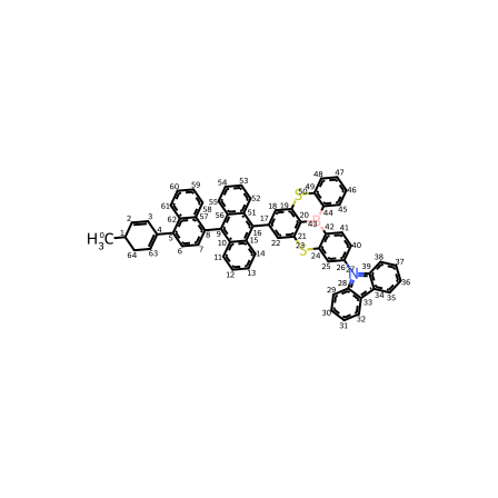 CC1C=CC(c2ccc(-c3c4ccccc4c(-c4cc5c6c(c4)Sc4cc(-n7c8ccccc8c8ccccc87)ccc4B6c4ccccc4S5)c4ccccc34)c3ccccc23)=CC1